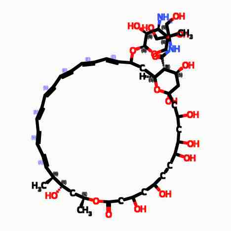 C[C@H]1C[C@H](O)[C@@H](C)/C=C/C=C/C=C/C=C/C=C/C=C/C=C/C(O[C@@H]2OC[C@@H](O)[C@H](N)[C@@H]2O)C[C@@H]2OC(O)(CC(O)CC(O)C(O)CCC(O)CC(O)CC(=O)O1)C[C@H](O)[C@H]2C(=O)NC(C)(CO)CO